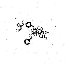 C[C@H](NC(=O)[C@H](Cc1ccccc1)NC(=O)OCc1ccccc1)C(=O)O.O=C(CCl)CCl